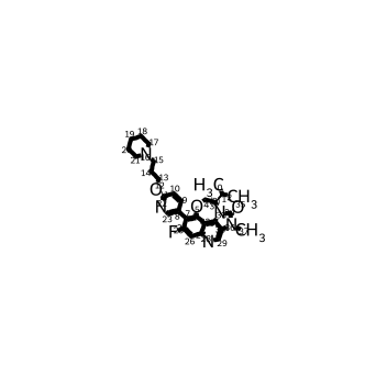 CC(C)[C@@H]1COc2c(-c3ccc(OCCCN4CCCCC4)nc3)c(F)cc3ncc4c(c23)n1c(=O)n4C